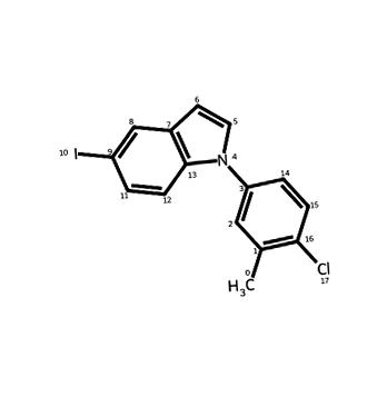 Cc1cc(-n2ccc3cc(I)ccc32)ccc1Cl